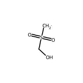 [CH2]S(=O)(=O)CO